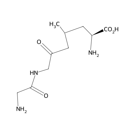 CC(CC(=O)CNC(=O)CN)C[C@H](N)C(=O)O